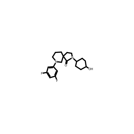 O=C1N(C2CCC(O)CC2)CCC12CCCN(c1cc(F)cc(F)c1)C2